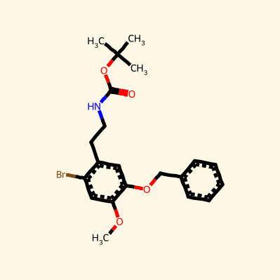 COc1cc(Br)c(CCNC(=O)OC(C)(C)C)cc1OCc1ccccc1